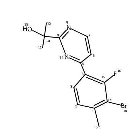 Cc1ccc(-c2ccnc(C(C)(C)O)n2)c(F)c1Br